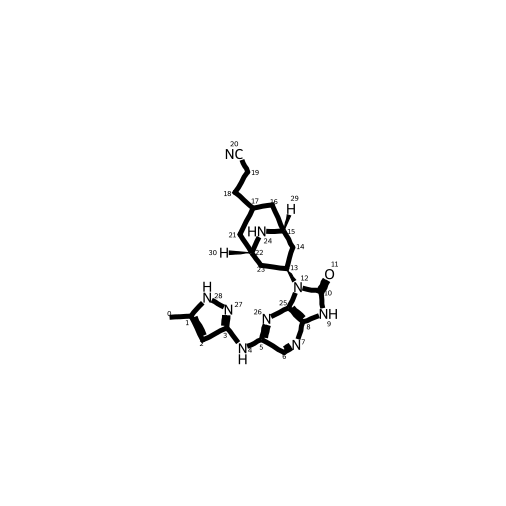 Cc1cc(Nc2cnc3[nH]c(=O)n([C@@H]4C[C@H]5CC(CCC#N)C[C@@H](C4)N5)c3n2)n[nH]1